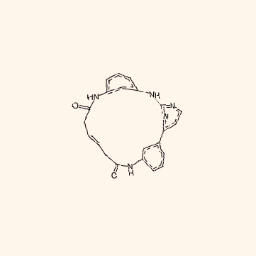 O=C1C/C=C/CC(=O)Nc2cccc(c2)-c2ccnc(n2)Nc2cccc(c2)N1